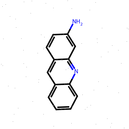 Nc1ccc2cc3ccccc3nc2c1